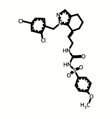 COc1ccc(S(=O)(=O)NC(=O)NCC=C2CCCc3cnn(Cc4ccc(Cl)cc4Cl)c32)cc1